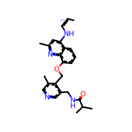 C/C=C\Nc1cc(C)nc2c(OCc3c(C)cncc3CNC(=O)C(C)C)cccc12